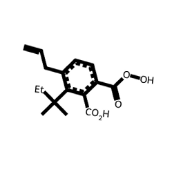 C=CCc1ccc(C(=O)OO)c(C(=O)O)c1C(C)(C)CC